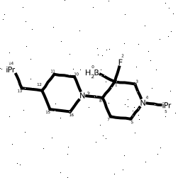 BC1(F)CN(C(C)C)CCC1N1CCC(CC(C)C)CC1